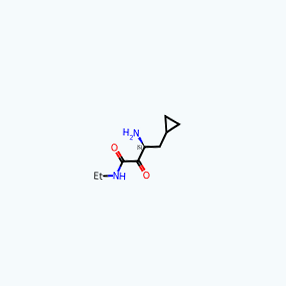 CCNC(=O)C(=O)[C@@H](N)CC1CC1